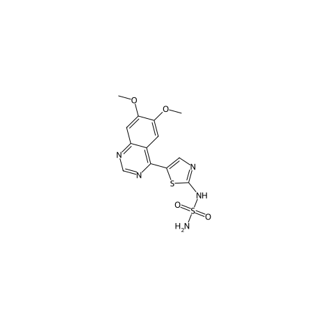 COc1cc2ncnc(-c3cnc(NS(N)(=O)=O)s3)c2cc1OC